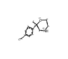 CC1(c2ccc(Cl)cc2)CNCCO1